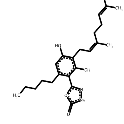 CCCCCc1cc(O)c(CC=C(C)CCC=C(C)C)c(O)c1-c1n[nH]c(=O)o1